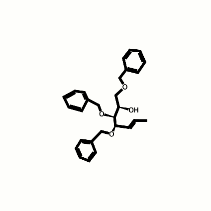 CC=C[C@@H](OCc1ccccc1)[C@@H](OCc1ccccc1)[C@H](O)COCc1ccccc1